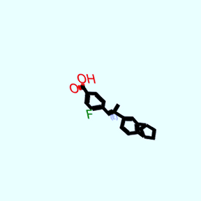 C/C(=C\c1ccc(C(=O)O)cc1F)c1ccc2c(c1)C1CCC2C1